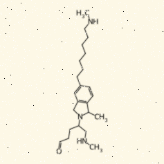 CNCCCCCCCc1ccc2c(c1)CN(C(CCC=O)CNC)C2C